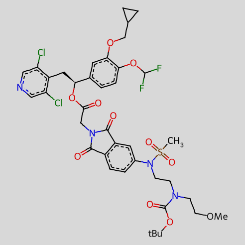 COCCN(CCN(c1ccc2c(c1)C(=O)N(CC(=O)O[C@@H](Cc1c(Cl)cncc1Cl)c1ccc(OC(F)F)c(OCC3CC3)c1)C2=O)S(C)(=O)=O)C(=O)OC(C)(C)C